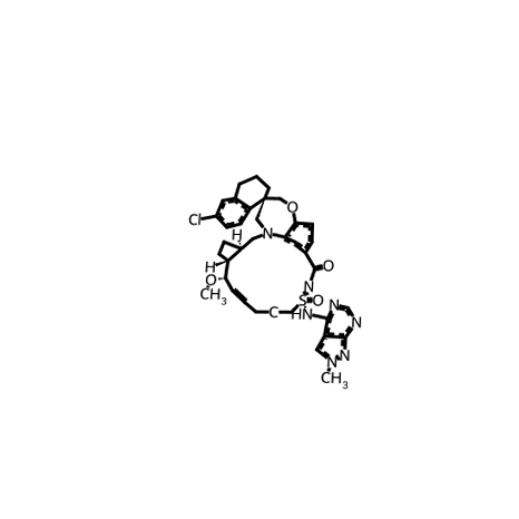 CO[C@H]1/C=C/CCC[S@@](=O)(Nc2ncnc3nn(C)cc23)=NC(=O)c2ccc3c(c2)N(C[C@@H]2CC[C@H]21)C[C@@]1(CCCc2cc(Cl)ccc21)CO3